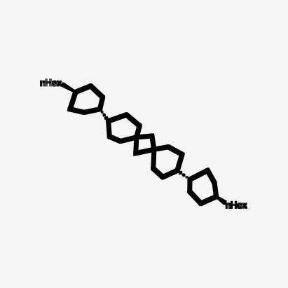 CCCCCC[C@H]1CC[C@H](C2CCC3(CC2)CC2(CCC([C@H]4CC[C@H](CCCCCC)CC4)CC2)C3)CC1